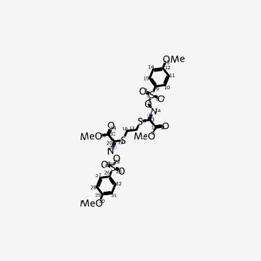 COC(=O)/C(=N/OS(=O)(=O)c1ccc(OC)cc1)SCCS/C(=N\OS(=O)(=O)c1ccc(OC)cc1)C(=O)OC